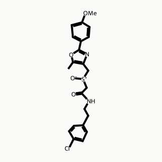 COc1ccc(-c2nc(C[S+]([O-])CC(=O)NCCc3ccc(Cl)cc3)c(C)o2)cc1